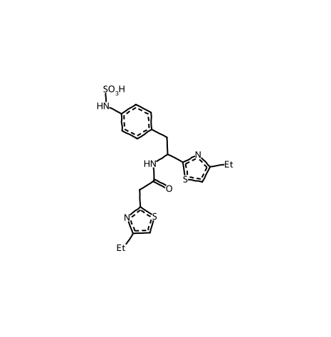 CCc1csc(CC(=O)NC(Cc2ccc(NS(=O)(=O)O)cc2)c2nc(CC)cs2)n1